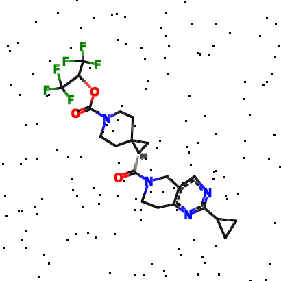 O=C(OC(C(F)(F)F)C(F)(F)F)N1CCC2(CC1)C[C@@H]2C(=O)N1CCc2nc(C3CC3)ncc2C1